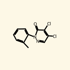 Cc1ccccc1-n1ncc(Cl)c(Cl)c1=O